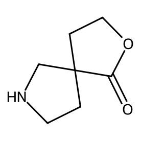 O=C1OCCC12CCNC2